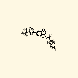 [2H]C([2H])([2H])c1nc(-c2ccc3c(c2)OC[C@H]3NC(=O)c2nnn(C)n2)no1